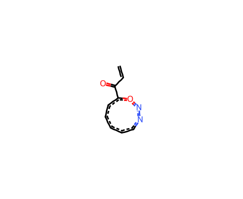 C=CC(=O)c1cccccnno1